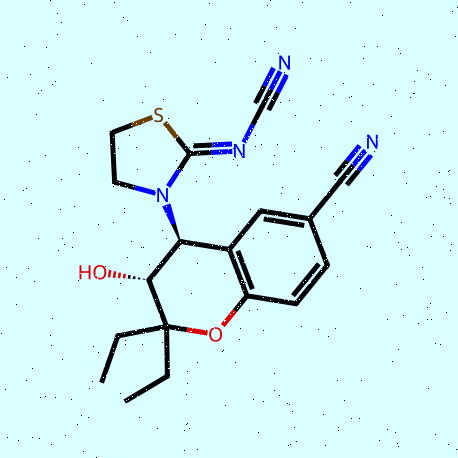 CCC1(CC)Oc2ccc(C#N)cc2[C@H](N2CCSC2=NC#N)[C@H]1O